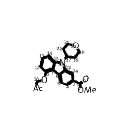 COC(=O)c1ccc2c3c(OCC(C)=O)cccc3n(C3CCOCC3)c2c1